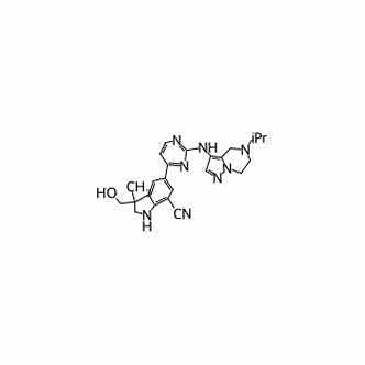 CC(C)N1CCn2ncc(Nc3nccc(-c4cc(C#N)c5c(c4)C(C)(CO)CN5)n3)c2C1